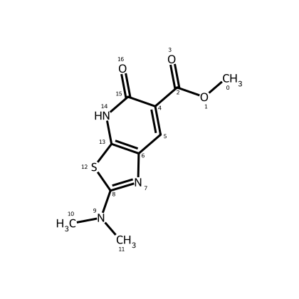 COC(=O)c1cc2nc(N(C)C)sc2[nH]c1=O